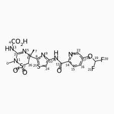 CN1C(NC(=O)O)=N[C@](C)(c2nc(NC(=O)c3ccc(OC(F)F)cn3)cs2)CS1(=O)=O